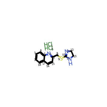 Cl.Cl.c1ccc2nc(CSC3=NCCN3)ccc2c1